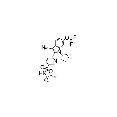 N#Cc1c(-c2ccc(S(=O)(=O)NC3(CF)CC3)cn2)n(C2CCCC2)c2cc(OC(F)F)ccc12